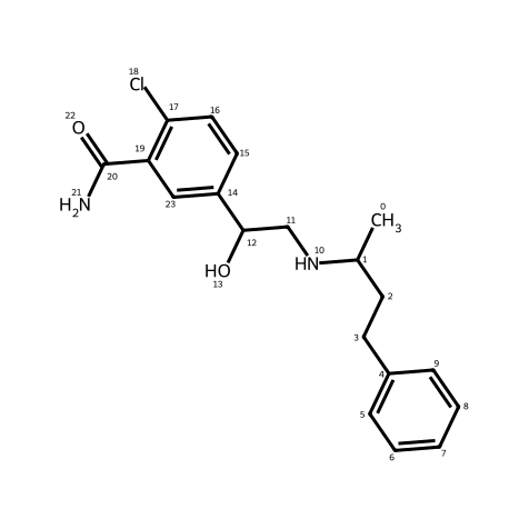 CC(CCc1ccccc1)NCC(O)c1ccc(Cl)c(C(N)=O)c1